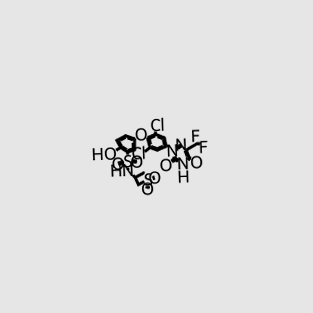 O=c1[nH]c(=O)n(-c2cc(Cl)c(Oc3ccc(O)c(S(=O)(=O)NC4CS(=O)(=O)C4)c3)c(Cl)c2)nc1C(F)F